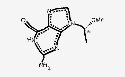 CO[C@H](C)n1cnc2c(=O)[nH]c(N)nc21